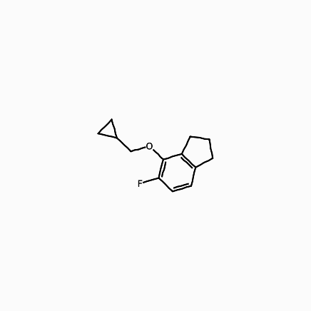 Fc1ccc2c(c1OCC1CC1)CCC2